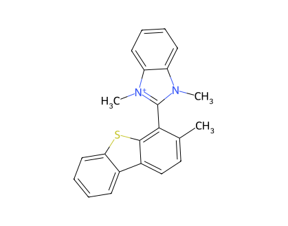 Cc1ccc2c(sc3ccccc32)c1-c1n(C)c2ccccc2[n+]1C